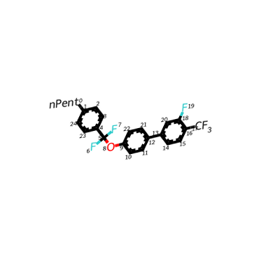 CCCCCc1ccc(C(F)(F)Oc2ccc(-c3ccc(C(F)(F)F)c(F)c3)cc2)cc1